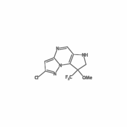 COC1(C(F)(F)F)CNc2cnc3cc(Cl)nn3c21